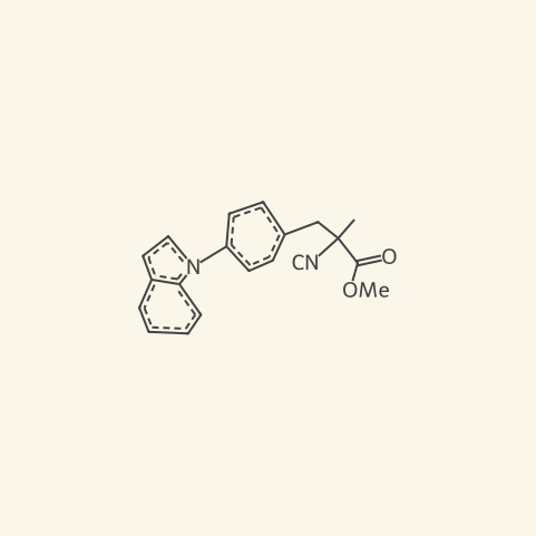 [C-]#[N+]C(C)(Cc1ccc(-n2ccc3ccccc32)cc1)C(=O)OC